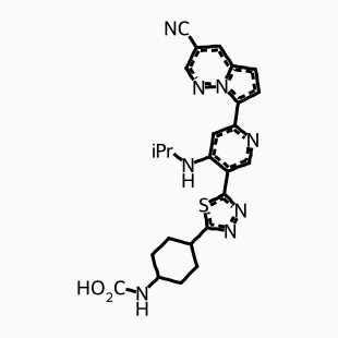 CC(C)Nc1cc(-c2ccc3cc(C#N)cnn23)ncc1-c1nnc(C2CCC(NC(=O)O)CC2)s1